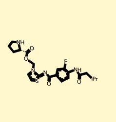 CC(C)CC(=O)Nc1ccc(C(=O)/N=c2\sccn2COC(=O)[C@@H]2CCCN2)cc1F